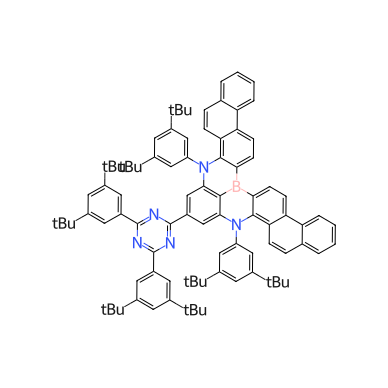 CC(C)(C)c1cc(-c2nc(-c3cc(C(C)(C)C)cc(C(C)(C)C)c3)nc(-c3cc4c5c(c3)N(c3cc(C(C)(C)C)cc(C(C)(C)C)c3)c3c(ccc6c3ccc3ccccc36)B5c3ccc5c(ccc6ccccc65)c3N4c3cc(C(C)(C)C)cc(C(C)(C)C)c3)n2)cc(C(C)(C)C)c1